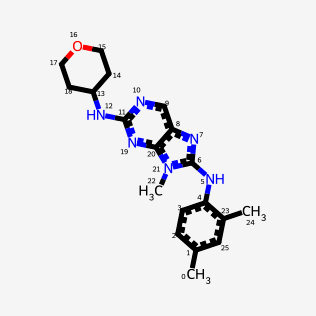 Cc1ccc(Nc2nc3cnc(NC4CCOCC4)nc3n2C)c(C)c1